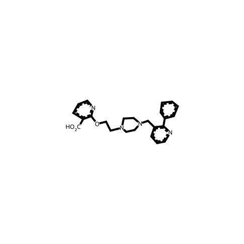 O=C(O)c1cccnc1OCCN1CCN(Cc2cccnc2-c2ccccc2)CC1